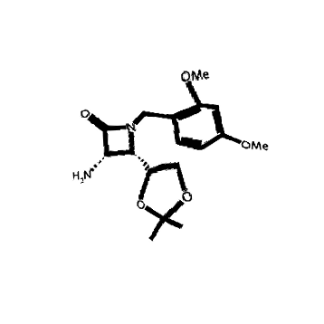 COc1ccc(CN2C(=O)[C@@H](N)[C@H]2C2COC(C)(C)O2)c(OC)c1